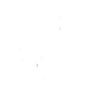 C=CC(=O)N1CCC[C@@H](n2nc(-c3ccc(C(=O)Nc4cc(C)ccn4)cc3)c3c(N)ncnc32)C1